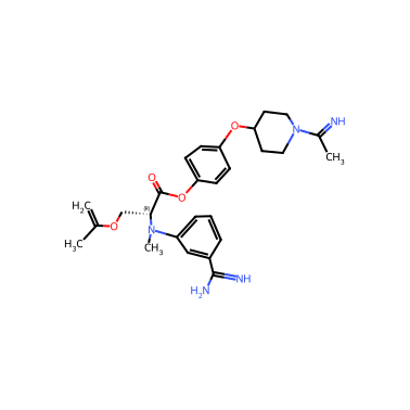 C=C(C)OC[C@H](C(=O)Oc1ccc(OC2CCN(C(C)=N)CC2)cc1)N(C)c1cccc(C(=N)N)c1